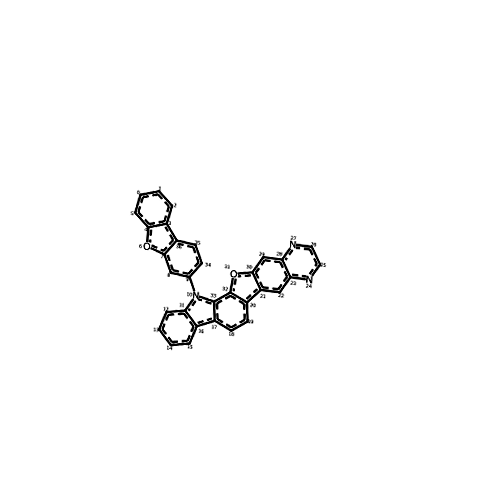 c1ccc2c(c1)oc1cc(-n3c4ccccc4c4ccc5c6cc7nccnc7cc6oc5c43)ccc12